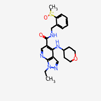 CCn1ncc2c(NC3CCOCC3)c(C(=O)NCc3ccccc3[S+](C)[O-])cnc21